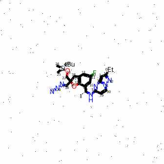 CCc1cc2nc(N[C@H](C)c3cc(F)cc4c3OC(CN=[N+]=[N-])(CO[Si](C)(C)C(C)(C)C)C4)ccn2n1